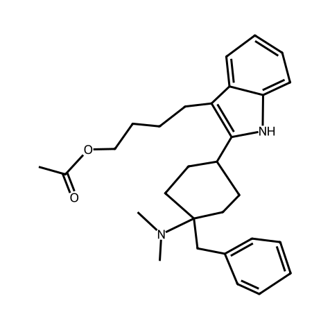 CC(=O)OCCCCc1c(C2CCC(Cc3ccccc3)(N(C)C)CC2)[nH]c2ccccc12